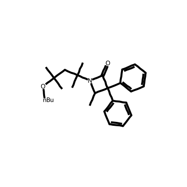 CCCCOC(C)(C)CC(C)(C)N1C(=O)C(c2ccccc2)(c2ccccc2)C1C